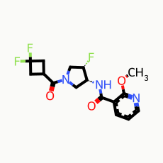 COc1ncccc1C(=O)N[C@@H]1CN(C(=O)C2CC(F)(F)C2)C[C@@H]1F